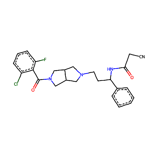 N#CCC(=O)NC(CCN1CC2CN(C(=O)c3c(F)cccc3Cl)CC2C1)c1ccccc1